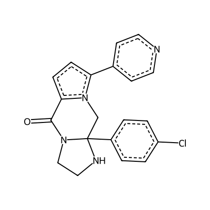 O=C1c2ccc(-c3ccncc3)n2CC2(c3ccc(Cl)cc3)NCCN12